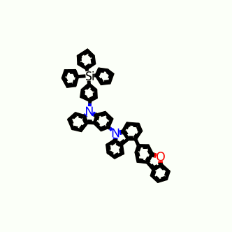 c1ccc([Si](c2ccccc2)(c2ccccc2)c2ccc(-n3c4ccccc4c4cc(-n5c6ccccc6c6c(-c7ccc8c(c7)oc7ccccc78)cccc65)ccc43)cc2)cc1